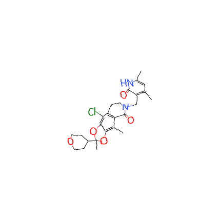 Cc1cc(C)c(CN2CCc3c(Cl)c4c(c(C)c3C2=O)OC(C)(C2CCOCC2)O4)c(=O)[nH]1